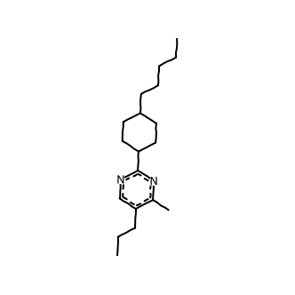 CCCCCC1CCC(c2ncc(CCC)c(C)n2)CC1